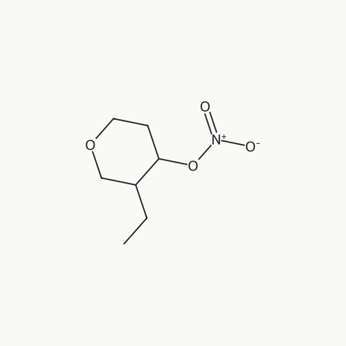 CCC1COCCC1O[N+](=O)[O-]